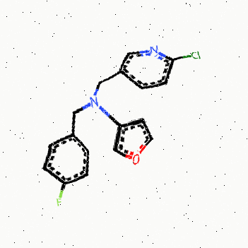 Fc1ccc(CN(Cc2ccc(Cl)nc2)c2ccoc2)cc1